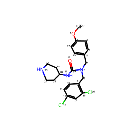 CC(C)Oc1ccc(CN(Cc2ccc(Cl)cc2Cl)C(=O)NC2CCNCC2)cc1